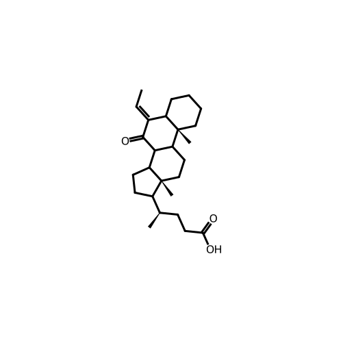 C/C=C1/C(=O)C2C(CC[C@@]3(C)C2CCC3[C@H](C)CCC(=O)O)[C@@]2(C)CCCCC12